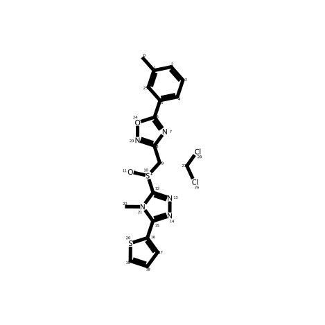 Cc1cccc(-c2nc(C[S+]([O-])c3nnc(-c4cccs4)n3C)no2)c1.ClCCl